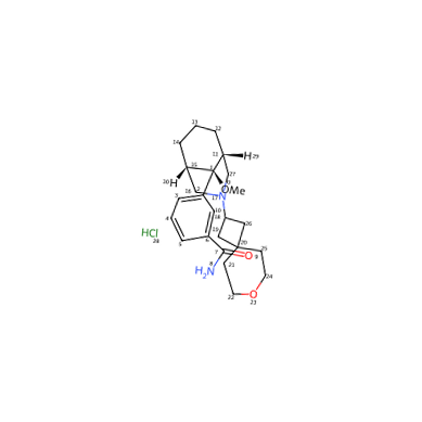 CO[C@]1(c2cccc(C(N)=O)c2)[C@@H]2CCC[C@H]1CN(C1CC3(CCOCC3)C1)C2.Cl